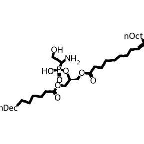 CCCCCCCC/C=C\CCCCCCCC(=O)OC[C@@H](COC(=O)CCCCCCCCCCCCCCC)OP(=O)(O)C(N)CO